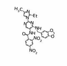 CCc1nc(C)cn1-c1ncc(NC(=O)c2ccc([N+](=O)[O-])cc2[N+](=O)[O-])c(NCc2ccc3c(c2)OCO3)n1